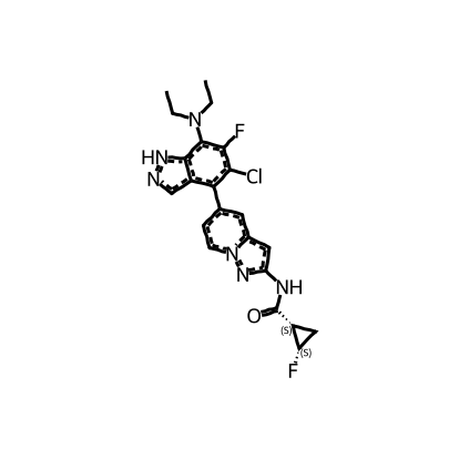 CCN(CC)c1c(F)c(Cl)c(-c2ccn3nc(NC(=O)[C@@H]4C[C@@H]4F)cc3c2)c2cn[nH]c12